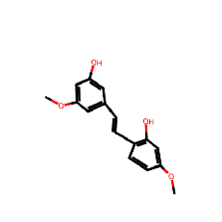 COc1cc(O)cc(C=Cc2ccc(OC)cc2O)c1